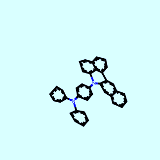 c1ccc(N(c2ccccc2)c2ccc(N3c4cc5ccccc5cc4-c4cccc5cccc3c45)cc2)cc1